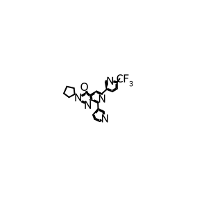 O=c1c2cc(-c3ccc(C(F)(F)F)nc3)nc(-c3cccnc3)c2ncn1C1CCCC1